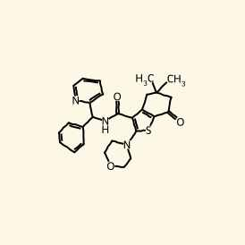 CC1(C)CC(=O)c2sc(N3CCOCC3)c(C(=O)NC(c3ccccc3)c3ccccn3)c2C1